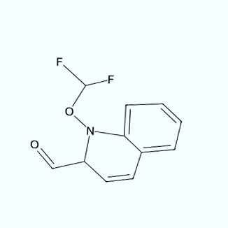 O=CC1C=Cc2ccccc2N1OC(F)F